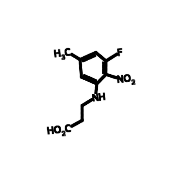 Cc1cc(F)c([N+](=O)[O-])c(NCCC(=O)O)c1